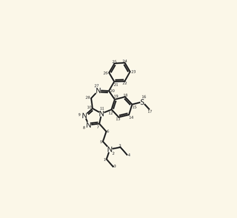 CCN(CC)CCc1nnc2n1-c1ccc(SC)cc1C(c1ccccc1)=NC2